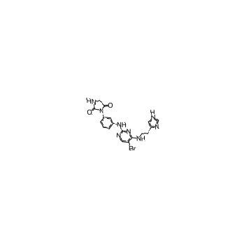 O=C1CNC(=O)N1c1cccc(Nc2ncc(Br)c(NCCc3c[nH]cn3)n2)c1